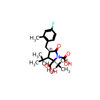 Cc1cc(F)ccc1C[C@H]1C(=O)N(C(=O)O)[C@](C(=O)O)(C(C)(C)C)C1C(C)(C)C